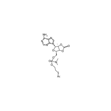 CC(=O)SCCOP(=O)(OC[C@H]1O[C@@H](n2cnc3c(N)ncnc32)[C@@]2(C)OC(=O)OC12)N(C)C